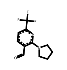 O=Cc1ccc(C(F)(F)F)nc1N1CCCC1